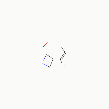 O=C(O)C=CC(=O)O.OC[C@@H]1CCN1